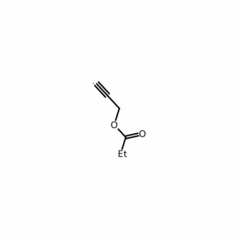 [C]#CCOC(=O)CC